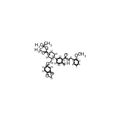 COc1ccccc1CNC(=O)c1cc([C@@H]2CCN(C(=O)OC(C)(C)C)C[C@@H]2COc2ccc3c(c2)OCO3)ccc1F